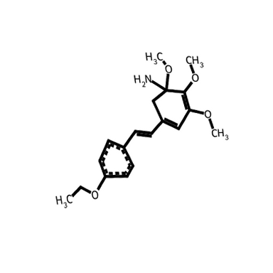 CCOc1ccc(C=CC2=CC(OC)=C(OC)C(N)(OC)C2)cc1